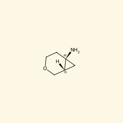 N[C@]12CCOC[C@H]1C2